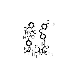 CCc1nn(C)c(C(=O)NCc2ccc(Oc3ccc(C)cc3)cc2)c1Cl.O=C(NC(=O)c1ccccc1Cl)Nc1ccc(OC(F)(F)F)cc1